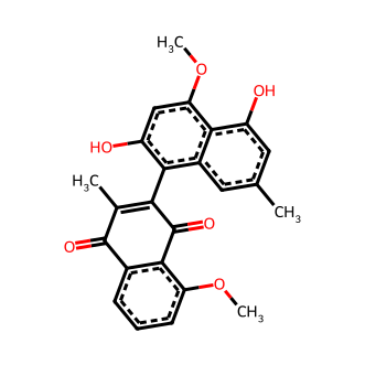 COc1cccc2c1C(=O)C(c1c(O)cc(OC)c3c(O)cc(C)cc13)=C(C)C2=O